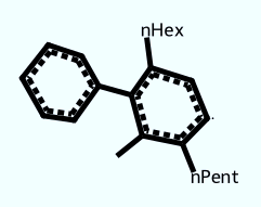 CCCCCCc1c[c]c(CCCCC)c(C)c1-c1ccccc1